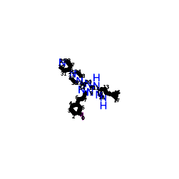 Ic1cccc(/C=C/c2nc(Nc3cc(C4CC4)[nH]n3)nc(N3CCN(c4ccncc4)CC3)n2)c1